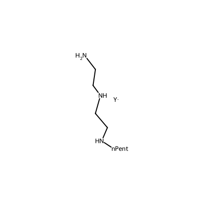 CCCCCNCCNCCN.[Y]